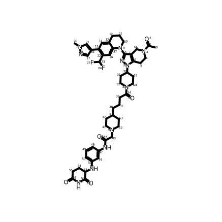 CC(=O)N1CCc2c(c(N3CCCc4cc(-c5cnn(C)c5)c(C(F)F)cc43)nn2C2CCN(C(=O)CCCC3CCN(CC(=O)Nc4cccc(NC5CCC(=O)NC5=O)c4)CC3)CC2)C1